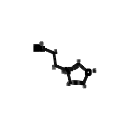 CCC(C)CC[n+]1ccoc1